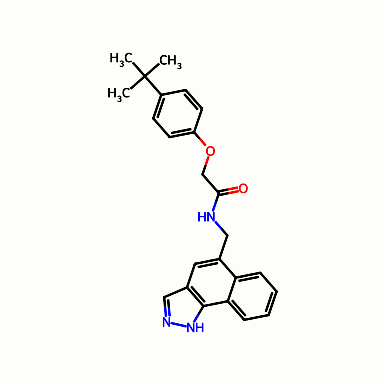 CC(C)(C)c1ccc(OCC(=O)NCc2cc3cn[nH]c3c3ccccc23)cc1